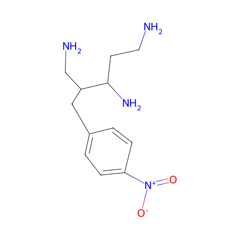 NCCC(N)C(CN)Cc1ccc([N+](=O)[O-])cc1